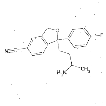 CC(N)CC[C@@]1(c2ccc(F)cc2)OCc2cc(C#N)ccc21